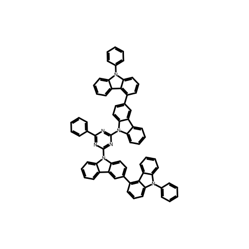 c1ccc(-c2nc(-n3c4ccccc4c4cc(-c5cccc6c5c5ccccc5n6-c5ccccc5)ccc43)nc(-n3c4ccccc4c4cc(-c5cccc6c5c5ccccc5n6-c5ccccc5)ccc43)n2)cc1